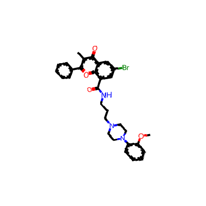 COc1ccccc1N1CCN(CCCNC(=O)c2cc(Br)cc3c(=O)c(C)c(-c4ccccc4)oc23)CC1